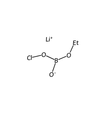 CCOB([O-])OCl.[Li+]